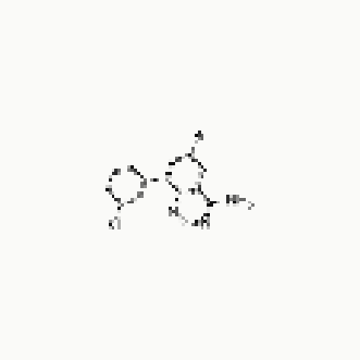 Nc1ncnc2c(-c3cccc(Cl)c3)cc(Br)cc12